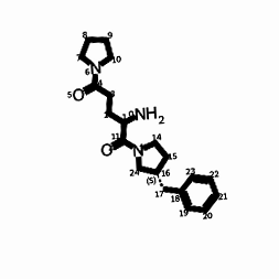 NC(CCC(=O)N1CCCC1)C(=O)N1CC[C@H](Cc2ccccc2)C1